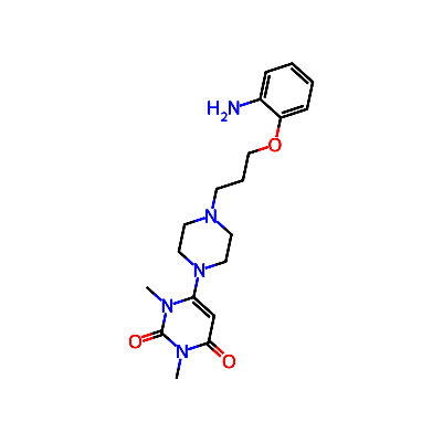 Cn1c(N2CCN(CCCOc3ccccc3N)CC2)cc(=O)n(C)c1=O